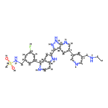 CCNCc1cncc(-c2cnc3[nH]nc(-c4cc5c(-c6cc(F)cc(CNS(C)(=O)=O)c6)nccc5[nH]4)c3c2)c1